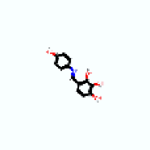 Oc1ccc(N=Cc2ccc(O)c(O)c2O)cc1